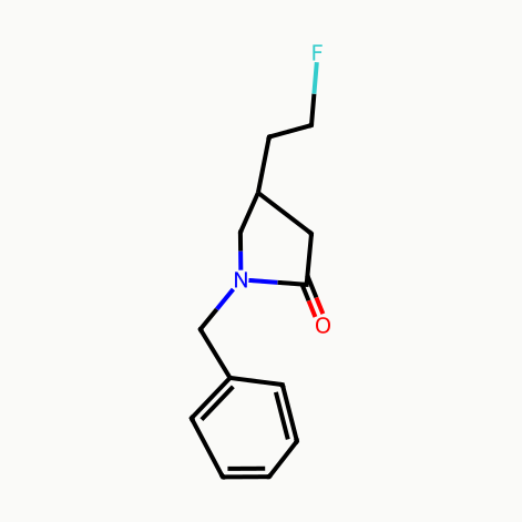 O=C1CC(CCF)CN1Cc1ccccc1